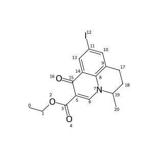 CCOC(=O)c1cn2c3c(cc(I)cc3c1=O)CCC2C